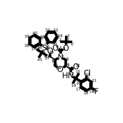 CC(C)(C)OC(=O)N1C[C@@H](C(=O)NC(C)(C)c2ccc(F)cc2Cl)OC[C@H]1CO[Si](c1ccccc1)(c1ccccc1)C(C)(C)C